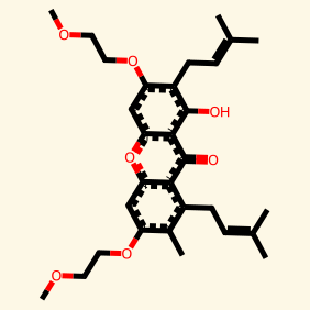 COCCOc1cc2oc3cc(OCCOC)c(CC=C(C)C)c(O)c3c(=O)c2c(CC=C(C)C)c1C